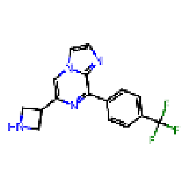 FC(F)(F)c1ccc(-c2nc(C3CNC3)cn3ccnc23)cc1